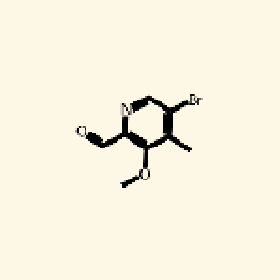 COc1c(C=O)ncc(Br)c1C